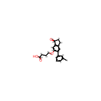 Cc1cccc(-c2cc3c(cc2OCCCC(=O)O)C(=O)CC3)c1